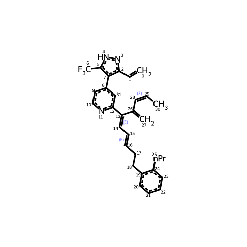 C=Cc1n[nH]c(C(F)(F)F)c1-c1ccnc(/C(=C/C=C/CCc2ccccc2CCC)C(=C)/C=C\C)c1